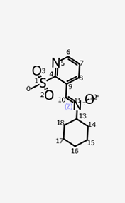 CS(=O)(=O)c1ncccc1/C=[N+](\[O-])C1CCCCC1